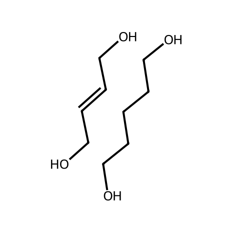 OC/C=C/CO.OCCCCCO